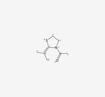 CC(=O)N1CCSC1=C(C)C